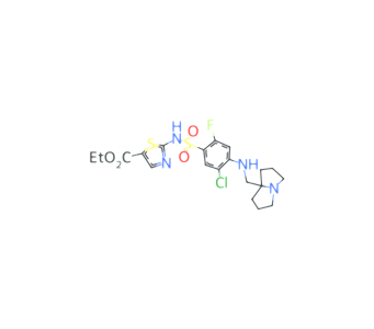 CCOC(=O)c1cnc(NS(=O)(=O)c2cc(Cl)c(NCC34CCCN3CCC4)cc2F)s1